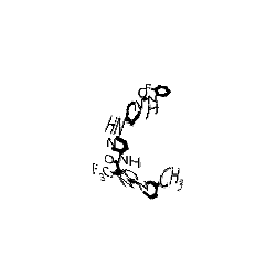 CC1CCCN(c2nc(C(F)(F)F)c(C(=O)Nc3ccc(NC4CCN(C(=O)Nc5ccccc5F)CC4)nc3)o2)C1